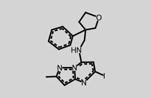 Cc1cc2nc(I)cc(NCC3(c4ccccc4)CCOC3)n2n1